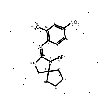 CCCN1C(=Nc2ccc([N+](=O)[O-])cc2C)SCC12CCCC2